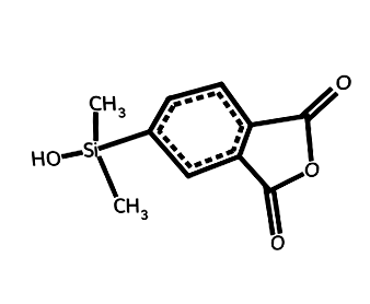 C[Si](C)(O)c1ccc2c(c1)C(=O)OC2=O